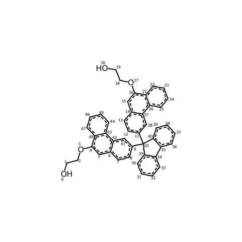 OCCOc1cc2ccc(C3(c4ccc5cc(OCCO)c6ccccc6c5c4)c4ccccc4-c4ccccc43)cc2c2ccccc12